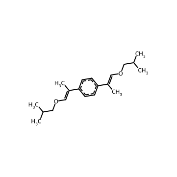 CC(=COCC(C)C)c1ccc(C(C)=COCC(C)C)cc1